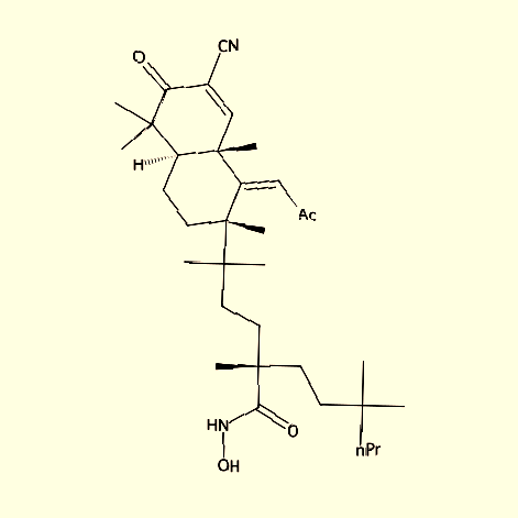 CCCC(C)(C)CC[C@@](C)(CCC(C)(C)[C@]1(C)CC[C@H]2C(C)(C)C(=O)C(C#N)=C[C@]2(C)/C1=C/C(C)=O)C(=O)NO